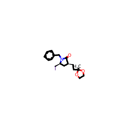 CC1(CC[C@H]2C[C@@H](CI)N(Cc3ccccc3)C2=O)OCCO1